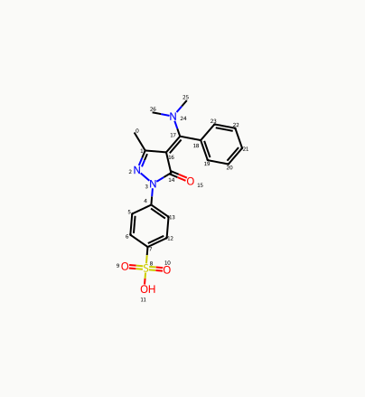 CC1=NN(c2ccc(S(=O)(=O)O)cc2)C(=O)C1=C(c1ccccc1)N(C)C